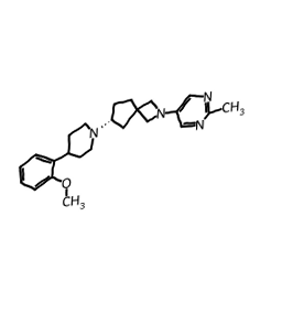 COc1ccccc1C1CCN([C@@H]2CCC3(C2)CN(c2cnc(C)nc2)C3)CC1